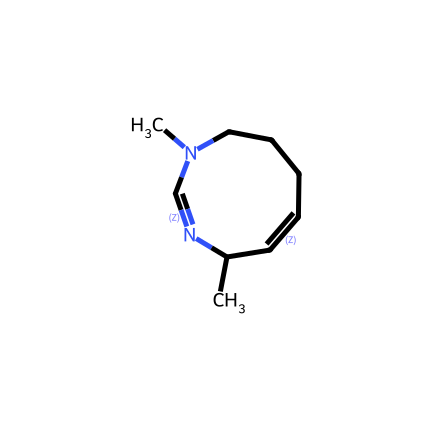 CC1/C=C\CCCN(C)/C=N\1